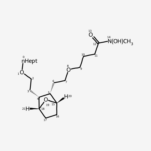 CCCCCCCOCC[C@@H]1[C@H](CCOCCCC(=O)N(C)O)[C@@H]2CC[C@H]1O2